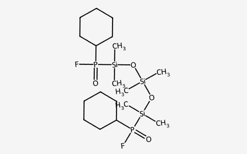 C[Si](C)(O[Si](C)(C)P(=O)(F)C1CCCCC1)O[Si](C)(C)P(=O)(F)C1CCCCC1